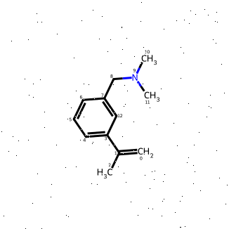 C=C(C)c1cccc(CN(C)C)c1